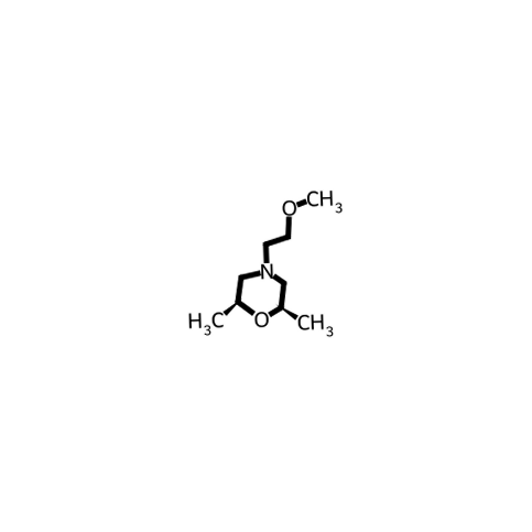 COCCN1C[C@@H](C)O[C@@H](C)C1